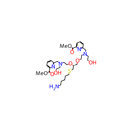 COC(=O)c1cccc(CN(CCO)CCOC[C@@H](CSCCCCCN)OCCN(CCO)Cc2cccc(C(=O)OC)n2)n1